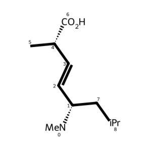 CN[C@H](/C=C/[C@H](C)C(=O)O)CC(C)C